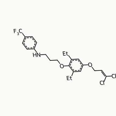 CCc1cc(OCC=C(Cl)Cl)cc(CC)c1OCCCNc1ccc(C(F)(F)F)cc1